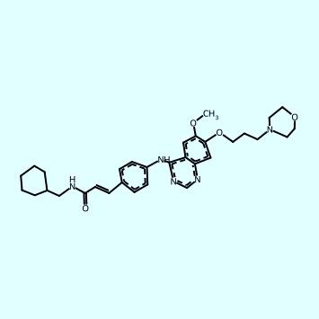 COc1cc2c(Nc3ccc(C=CC(=O)NCC4CCCCC4)cc3)ncnc2cc1OCCCN1CCOCC1